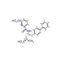 C[C@H](C[C@@H](Cc1ccc(-c2ccccc2)cc1)NC(=O)c1cccc(C(=O)O)n1)C(=O)O